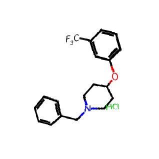 Cl.FC(F)(F)c1cccc(OC2CCN(Cc3ccccc3)CC2)c1